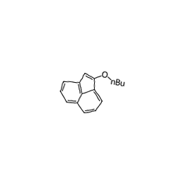 CCCCOC1=Cc2cccc3cccc1c23